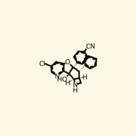 N#Cc1ccc([C@@]23Oc4cc(Cl)cnc4[C@@]2(O)[C@@H]2NC[C@@H]2[C@H]3c2ccccc2)cc1